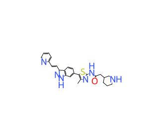 Cc1nc(NC(=O)CC2CCCNC2)sc1-c1ccc2c(C=Cc3ccccn3)n[nH]c2c1